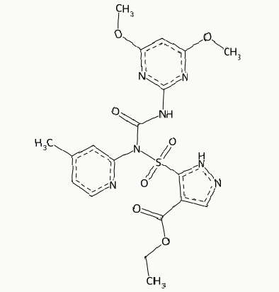 CCOC(=O)c1cn[nH]c1S(=O)(=O)N(C(=O)Nc1nc(OC)cc(OC)n1)c1cc(C)ccn1